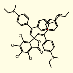 CCOc1ccc(C(=CC2(C=C(c3ccc(OCC)cc3)c3ccc(N(C)CC)cc3)OC(=O)c3c(Cl)c(Cl)c(Cl)c(Cl)c32)c2ccc(N(C)CC)cc2)cc1